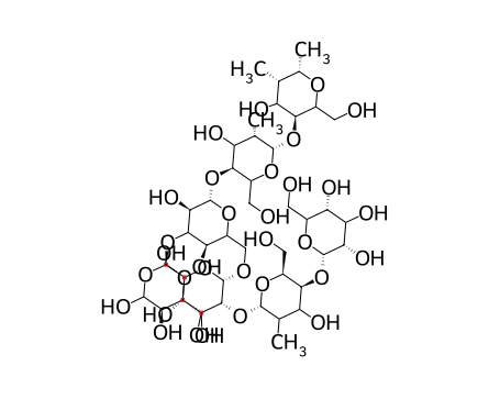 CC1C(O)[C@H](O[C@@H]2OC(CO)[C@H](O)C(O)[C@@H]2O)[C@H](CO)O[C@H]1O[C@@H]1C(O)[C@H](O)C(CO)O[C@@H]1OCC1O[C@@H](O[C@@H]2C(CO)O[C@@H](O[C@@H]3C(CO)O[C@@H](C)[C@@H](C)C3O)[C@@H](C)C2O)[C@H](O)C(O[C@@H]2OC(O)[C@H](O)[C@@H](CO)O2)[C@@H]1O